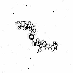 CCN1CCN(C(=O)NC(C(C)=O)C(=O)Oc2ccc(CC(=O)NC3C(=O)N4C(C(=O)O)=C(CSc5nncs5)CS[C@@H]34)cc2Cl)C(=O)C1=O